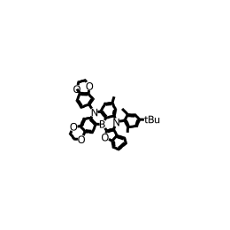 Cc1cc2c3c(c1)N(c1c(C)cc(C(C)(C)C)cc1C)c1c(oc4ccccc14)B3c1cc3c(cc1N2c1ccc2c(c1)OCCO2)OCCO3